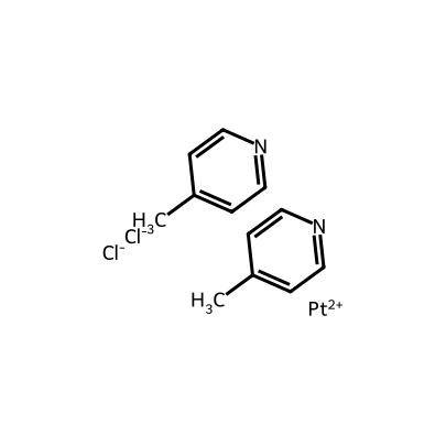 Cc1ccncc1.Cc1ccncc1.[Cl-].[Cl-].[Pt+2]